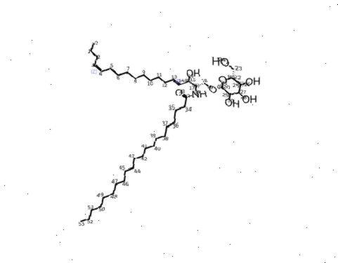 CCC/C=C\CCCCCCCC/C=C/[C@@H](O)[C@H](CO[C@@H]1O[C@H](CO)[C@@H](O)C(O)C1O)NC(=O)CCCCCCCCCCCCCCCCCCCC